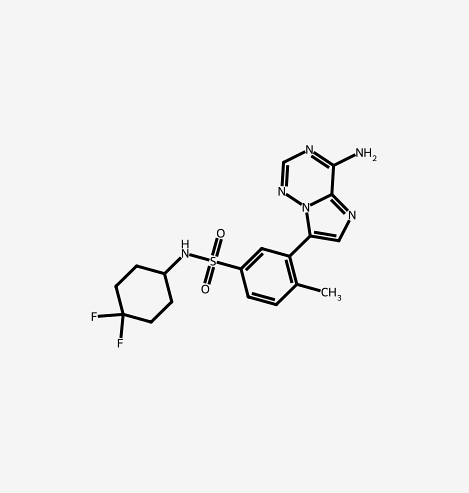 Cc1ccc(S(=O)(=O)NC2CCC(F)(F)CC2)cc1-c1cnc2c(N)ncnn12